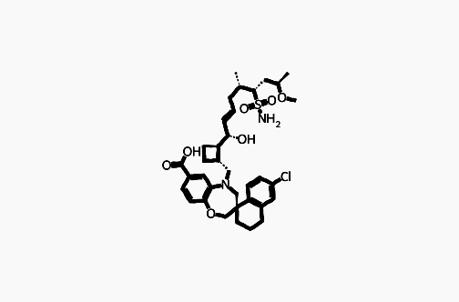 CO[C@H](C)C[C@@H]([C@@H](C)C/C=C/[C@H](O)[C@@H]1CC[C@H]1CN1C[C@@]2(CCCc3cc(Cl)ccc32)COc2ccc(C(=O)O)cc21)S(N)(=O)=O